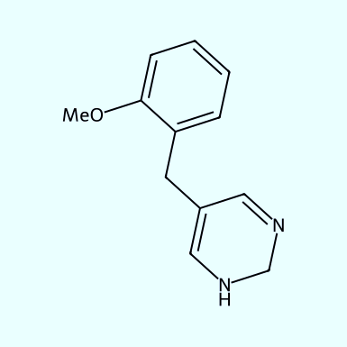 COc1ccccc1CC1=CNCN=C1